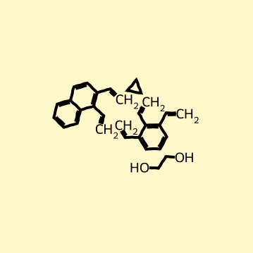 C1CC1.C=Cc1ccc2ccccc2c1C=C.C=Cc1cccc(C=C)c1C=C.OCCO